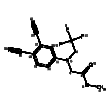 COC(=O)CN(CC(F)(F)F)c1ccc(C#N)c(C#N)c1